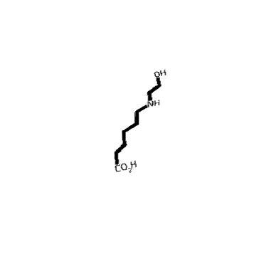 O=C(O)CCCCCNCCO